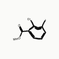 CCc1c(I)cccc1C(=O)OC